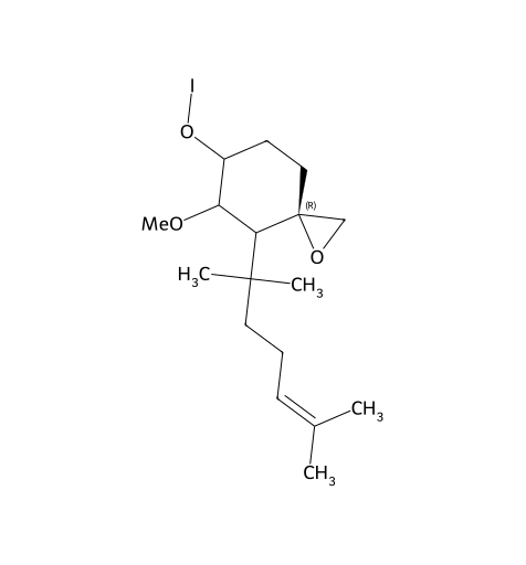 COC1C(OI)CC[C@]2(CO2)C1C(C)(C)CCC=C(C)C